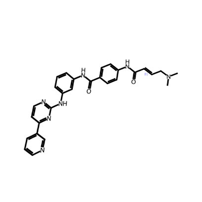 CN(C)C/C=C/C(=O)Nc1ccc(C(=O)Nc2cccc(Nc3nccc(-c4cccnc4)n3)c2)cc1